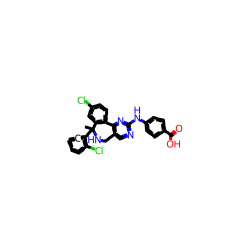 CC1(c2ccccc2Cl)NCc2cnc(Nc3ccc(C(=O)O)cc3)nc2-c2ccc(Cl)cc21